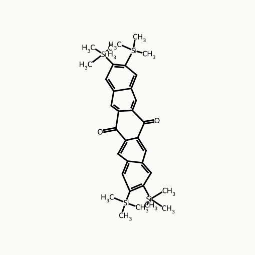 C[Si](C)(C)c1cc2cc3c(cc2cc1[Si](C)(C)C)C(=O)c1cc2cc([Si](C)(C)C)c([Si](C)(C)C)cc2cc1C3=O